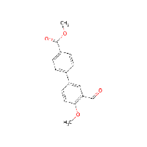 COC(=O)c1ccc(-c2ccc(OC)c(C=O)c2)cc1